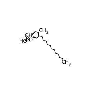 CCCCCCCCCCCCc1cc(OB(O)O)ccc1C